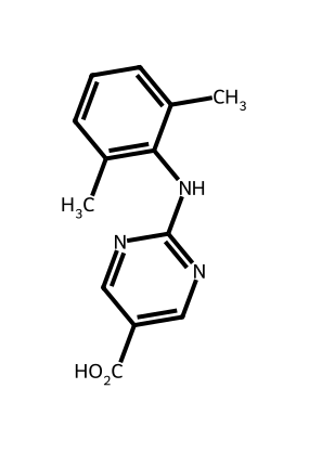 Cc1cccc(C)c1Nc1ncc(C(=O)O)cn1